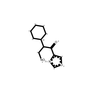 O=C(c1cocn1)C(C[N+](=O)[O-])C1CCCCC1